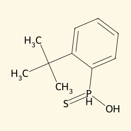 CC(C)(C)c1ccccc1[PH](O)=S